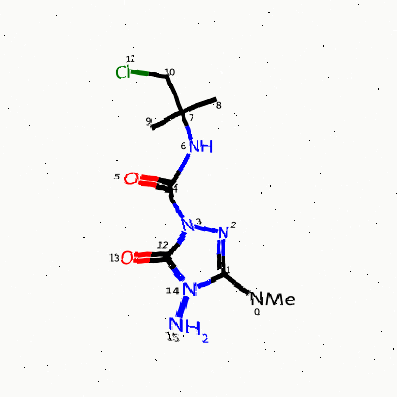 CNc1nn(C(=O)NC(C)(C)CCl)c(=O)n1N